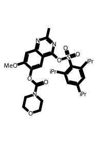 COc1cc2nc(C)nc(OS(=O)(=O)c3c(C(C)C)cc(C(C)C)cc3C(C)C)c2cc1OC(=O)N1CCOCC1